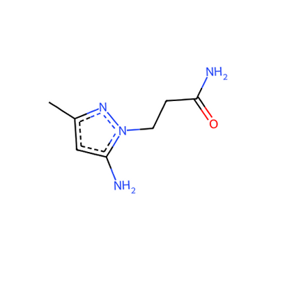 Cc1cc(N)n(CCC(N)=O)n1